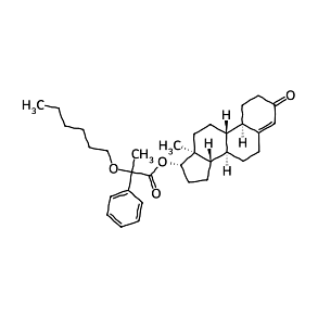 CCCCCCOC(C)(C(=O)O[C@H]1CC[C@H]2[C@@H]3CCC4=CC(=O)CC[C@@H]4[C@H]3CC[C@]12C)c1ccccc1